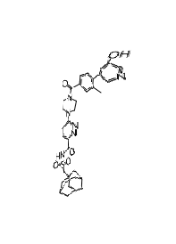 Cc1cc(C(=O)N2CCN(c3ccc(C(=O)NS(=O)(=O)CC45CC6CC(CC(C6)C4)C5)nn3)CC2)ccc1-c1cncc(O)c1